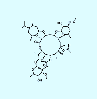 CO/N=C1\C[C@@H](C)O[C@@H](O[C@@H]2[C@@H](C)[C@H](O[C@H]3CC(C)N(C(C)C)C[C@H](C)O3)[C@@H](C)C(=O)O[C@H]([C@@H](C)CO[C@@H]3O[C@H](C)[C@@H](O)[C@@H](OC)[C@H]3OC)[C@H](C)[C@@H](OC(=O)CC(C)C)[C@@H](C)C(=O)[C@@](C)(OC(C)=O)C[C@@H]2C)[C@@H]1O